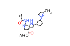 COC(=O)c1cnc(NC(=O)C2CC2)c2[nH]c(-c3cccc(-n4ccc(C)n4)c3)cc12